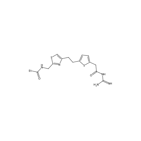 CCC(=O)NCc1nc(CCc2ccc(CC(=O)NC(=N)N)s2)cs1